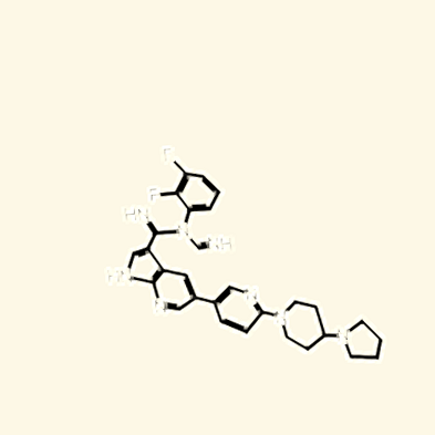 N=CN(C(=N)c1c[nH]c2ncc(-c3ccc(N4CCC(N5CCCC5)CC4)nc3)cc12)c1cccc(F)c1F